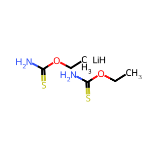 CCOC(N)=S.CCOC(N)=S.[LiH]